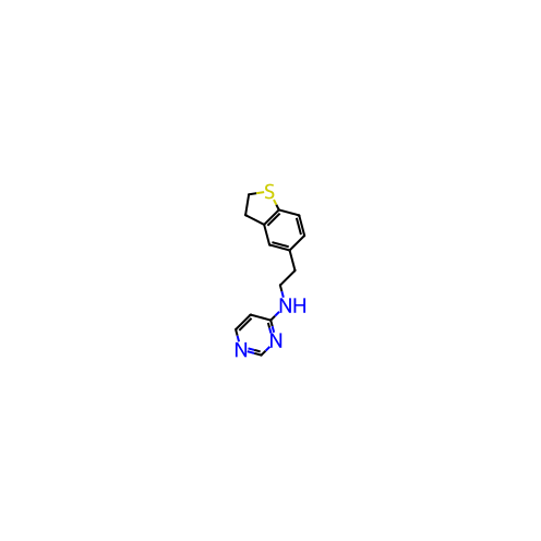 c1cc(NCCc2ccc3c(c2)CCS3)ncn1